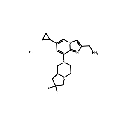 Cl.NCc1cn2cc(C3CC3)cc(N3CCN4CC(F)(F)CC4C3)c2n1